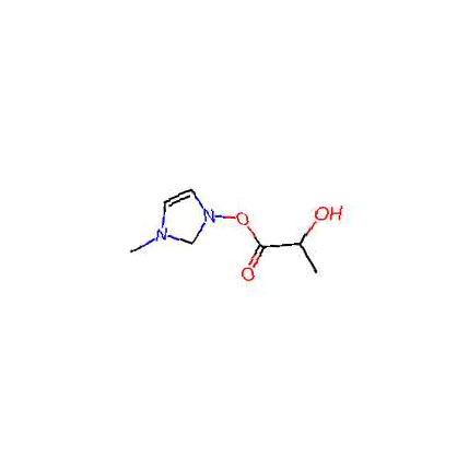 CC(O)C(=O)ON1C=CN(C)C1